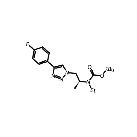 CCN(C(=O)OC(C)(C)C)[C@@H](C)Cn1cc(-c2ccc(F)cc2)nn1